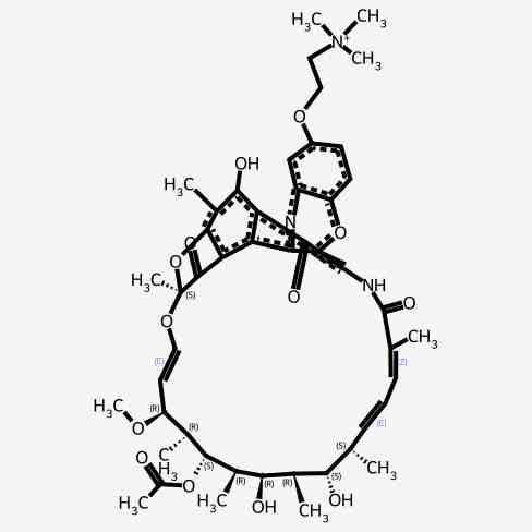 CO[C@H]1/C=C/O[C@@]2(C)Oc3c(C)c(O)c4c(=O)c(c5oc6ccc(OCC[N+](C)(C)C)cc6nc-5c4c3C2=O)NC(=O)/C(C)=C\C=C\[C@H](C)[C@H](O)[C@@H](C)[C@@H](O)[C@@H](C)[C@H](OC(C)=O)[C@@H]1C